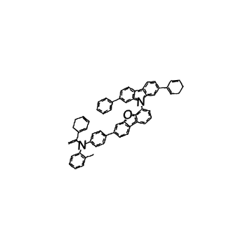 C=C(C1=CC=CCC1)N(c1ccc(-c2ccc3c(c2)oc2c(-n4c5cc(C6=CCCC=C6)ccc5c5ccc(-c6ccccc6)cc54)cccc23)cc1)c1ccccc1C